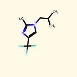 Cc1nc(C(F)(F)F)cn1CC(C)C